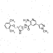 Cc1cccc(C)c1OC[C@@H]1C[C@H](NC(=O)c2cc(-c3cnn(C)c3)cnc2N)CN1